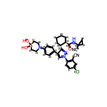 N#Cc1cc(Cl)ccc1-n1cc(-c2ccc(N3CCS(O)(O)CC3)cc2)c([C@@H]2CCCC[C@H]2C(=O)NC2(C#N)CC2)n1